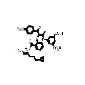 CCCCCCCCCCCCCCCC1CC1.COc1ccc(C(=O)C(Sc2ccccc2C(N)=O)C(=O)Nc2cc(C(=O)O)cc(C(=O)O)c2)cc1